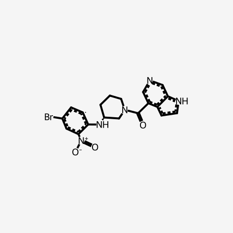 O=C(c1cncc2[nH]ccc12)N1CCC[C@@H](Nc2[c]cc(Br)cc2[N+](=O)[O-])C1